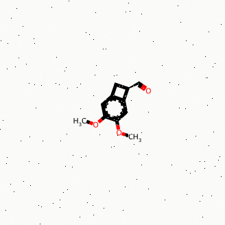 COc1cc2c(cc1OC)[C@H](C=O)C2